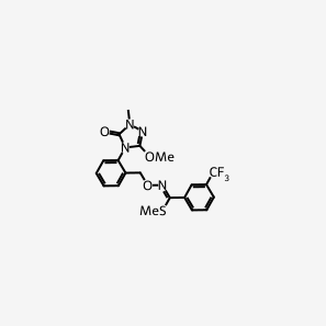 COc1nn(C)c(=O)n1-c1ccccc1CO/N=C(\SC)c1cccc(C(F)(F)F)c1